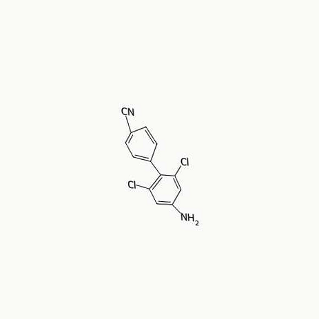 N#Cc1ccc(-c2c(Cl)cc(N)cc2Cl)cc1